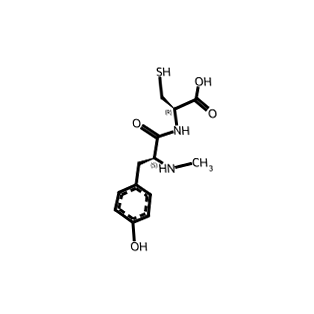 CN[C@@H](Cc1ccc(O)cc1)C(=O)N[C@@H](CS)C(=O)O